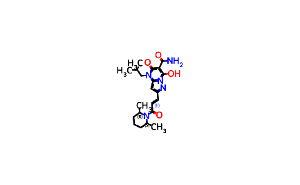 CC(C)Cn1c(=O)c(C(N)=O)c(O)n2nc(/C=C/C(=O)N3[C@H](C)CCC[C@@H]3C)cc12